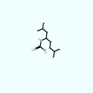 CC(C)CCC(CC(C)C)OC(=O)Cl